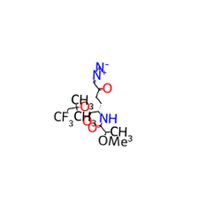 CO[C@H](C)C(=O)N[C@@H](CCC(=O)C=[N+]=[N-])C(=O)OC(C)(C)CC(F)(F)F